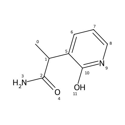 CC(C(N)=O)c1cccnc1O